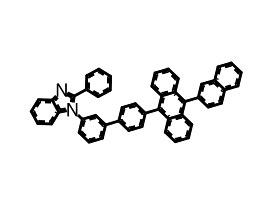 c1ccc(-c2nc3ccccc3n2-c2cccc(-c3ccc(-c4c5ccccc5c(-c5ccc6ccccc6c5)c5ccccc45)cc3)c2)cc1